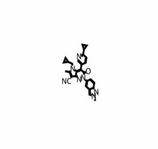 Cc1c(C#N)c2nn(-c3ccc4nn(C)cc4c3)c(=O)c(-c3ccc(C4CC4)nc3)c2n1CC1CC1